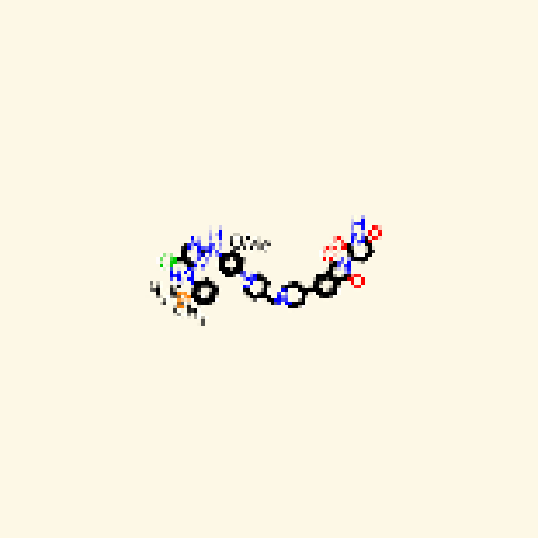 COc1cc(N2CCC(CN3CCC(c4ccc5c(c4)C(=O)N(C4CCC(=O)NC4=O)C5=O)CC3)CC2)ccc1Nc1ncc(Cl)c(Nc2ccccc2P(C)C)n1